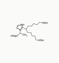 CCCCCCCCCCCCCCCC(CCCCCCCCCCCCCCC)c1[nH]cc[n+]1C(C)CCCCCCC